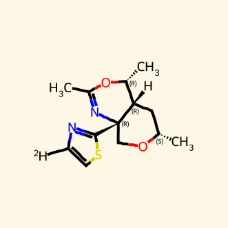 [2H]c1csc([C@]23CO[C@@H](C)C[C@H]2[C@@H](C)OC(C)=N3)n1